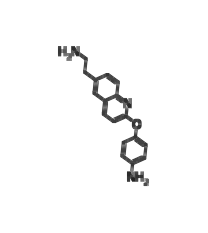 NCCc1ccc2nc(Oc3ccc(N)cc3)ccc2c1